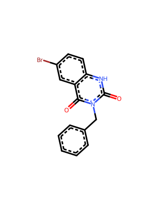 O=c1[nH]c2ccc(Br)cc2c(=O)n1Cc1ccccc1